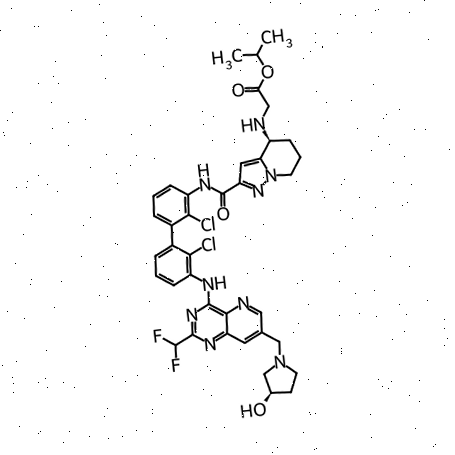 CC(C)OC(=O)CN[C@H]1CCCn2nc(C(=O)Nc3cccc(-c4cccc(Nc5nc(C(F)F)nc6cc(CN7CC[C@@H](O)C7)cnc56)c4Cl)c3Cl)cc21